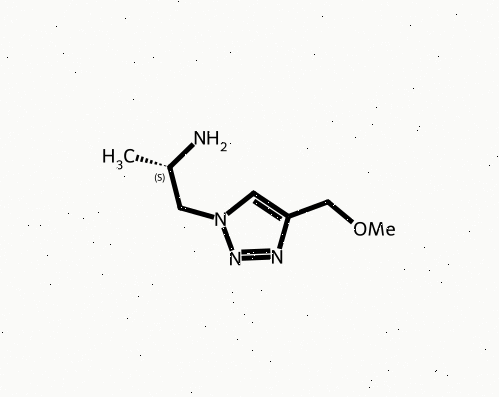 COCc1cn(C[C@H](C)N)nn1